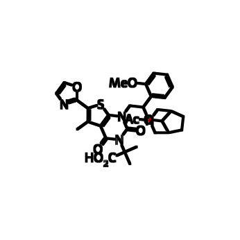 COc1ccccc1C(Cn1c(=O)n(C(C)(C)C(=O)O)c(=O)c2c(C)c(-c3ncco3)sc21)OC1C2CCC1CN(C(C)=O)C2